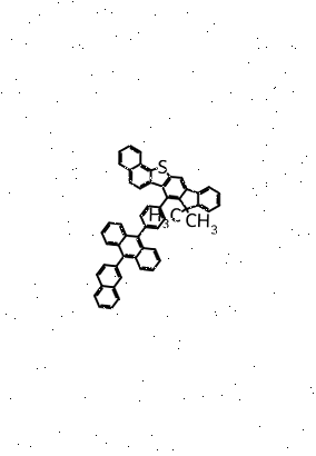 CC1(C)c2ccccc2-c2cc3sc4c5ccccc5ccc4c3c(-c3ccc(-c4c5ccccc5c(-c5ccc6ccccc6c5)c5ccccc45)cc3)c21